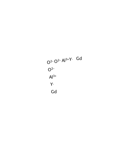 [Al+3].[Al+3].[Gd].[Gd].[O-2].[O-2].[O-2].[Y].[Y]